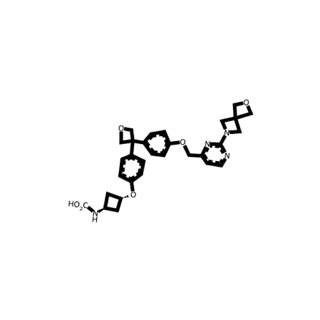 O=C(O)N[C@H]1C[C@H](Oc2ccc(C3(c4ccc(OCc5ccnc(N6CC7(COC7)C6)n5)cc4)COC3)cc2)C1